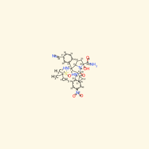 CC(C)(C)[S@@+]([O-])NC(CCC1CC1)(c1cccc(C#N)c1)C1CCC(O)(C(N)=O)N1C(=O)Nc1ccc([N+](=O)[O-])cc1